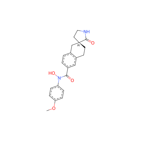 COc1ccc(N(O)C(=O)c2ccc3c(c2)CC[C@]2(CCNC2=O)C3)cc1